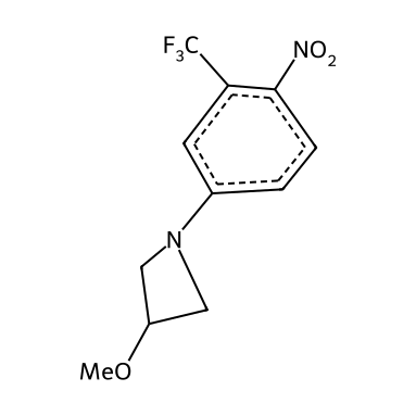 COC1CN(c2ccc([N+](=O)[O-])c(C(F)(F)F)c2)C1